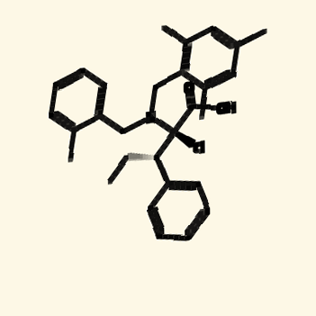 CC[C@@H](c1ccccc1)[C@@](Cl)(C(=O)O)N(Cc1ccccc1C)Cc1c(C)cc(C)cc1C